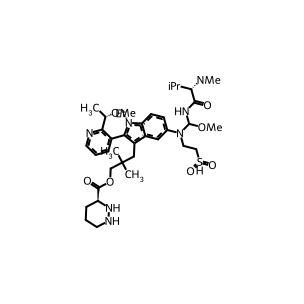 CCn1c(-c2cccnc2[C@H](C)OC)c(CC(C)(C)COC(=O)[C@@H]2CCCNN2)c2cc(N(CC[SH](=O)=O)C(NC(=O)[C@@H](NC)C(C)C)OC)ccc21